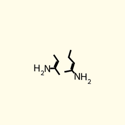 C/C=C(/C)N.CC/C=C(\C)N